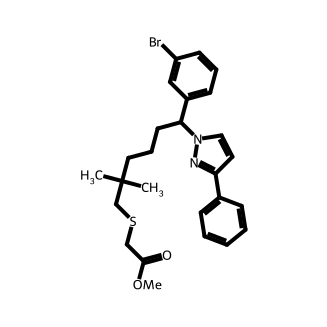 COC(=O)CSCC(C)(C)CCCC(c1cccc(Br)c1)n1ccc(-c2ccccc2)n1